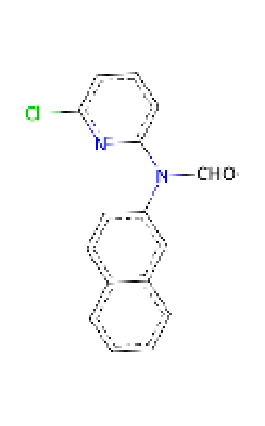 O=[C]N(c1ccc2ccccc2c1)c1cccc(Cl)n1